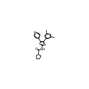 Cc1cc(C)cc(-c2nc(NC(=O)C3CCCC3)sc2-c2ccncc2)c1